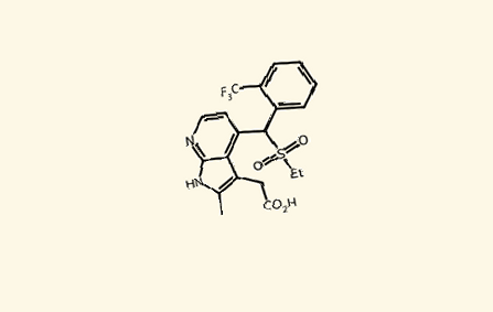 CCS(=O)(=O)C(c1ccccc1C(F)(F)F)c1ccnc2[nH]c(C)c(CC(=O)O)c12